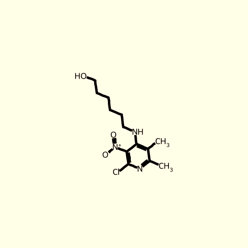 Cc1nc(Cl)c([N+](=O)[O-])c(NCCCCCCO)c1C